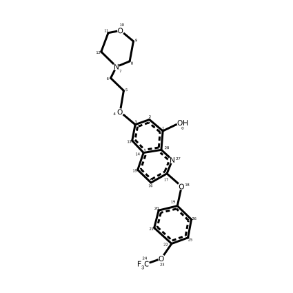 Oc1cc(OCCN2CCOCC2)cc2ccc(Oc3ccc(OC(F)(F)F)cc3)nc12